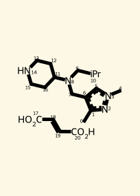 Cc1nn(C)cc1CN(CC(C)C)C1CCNCC1.O=C(O)C=CC(=O)O